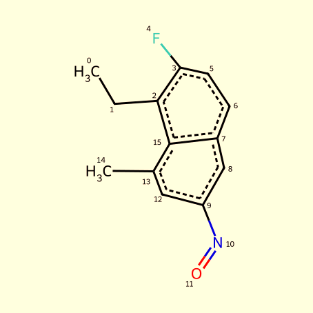 CCc1c(F)ccc2cc(N=O)cc(C)c12